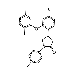 Cc1ccc(N2CC(c3ccc(Cl)cc3Oc3cc(C)ccc3C)CC2=O)cc1